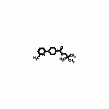 Cc1cccc(N2CCN(C(=O)OCC(C)(C)C)CC2)n1